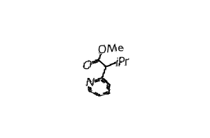 COC(=O)C(c1ccccn1)C(C)C